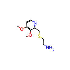 COc1ccnc(CSCCN)c1OC